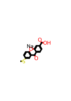 CSc1ccc2oc3cc(C(=O)O)ccc3c(=O)c2c1.[Na]